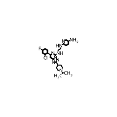 CC(C)N1CCC(c2nc3cc(-c4ccc(F)cc4Cl)nc(NCCNc4ccc(N)cn4)n3n2)CC1